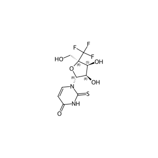 O=c1ccn([C@@H]2O[C@@](CO)(C(F)(F)F)[C@@H](O)[C@H]2O)c(=S)[nH]1